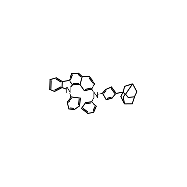 c1ccc(N(c2ccc(C34CC5CC(CC(C5)C3)C4)cc2)c2ccc3ccc4c5ccccc5n(-c5ccccc5)c4c3c2)cc1